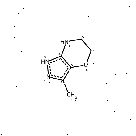 Cc1n[nH]c2c1OCCN2